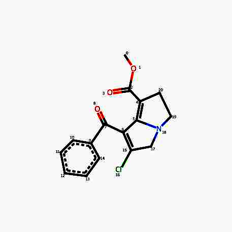 COC(=O)C1=C2C(C(=O)c3ccccc3)=C(Cl)CN2CC1